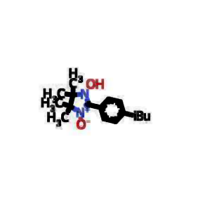 CCC(C)c1ccc(C2=[N+]([O-])C(C)(C)C(C)(C)N2O)cc1